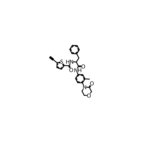 C#Cc1ccc(C(=O)NC(Cc2ccccc2)C(=O)Nc2ccc(N3CCOCC3=O)c(C)c2)s1